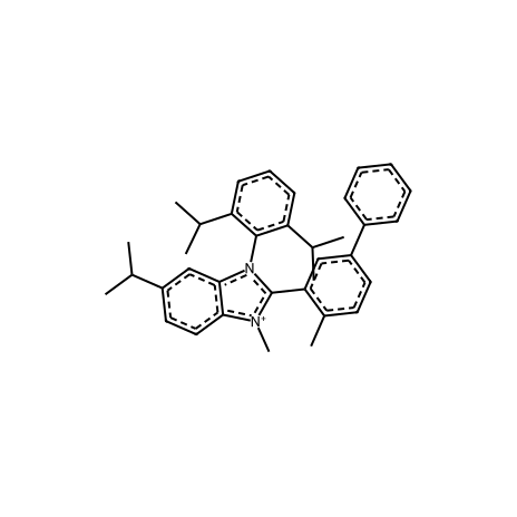 Cc1ccc(-c2ccccc2)cc1-c1n(-c2c(C(C)C)cccc2C(C)C)c2cc(C(C)C)ccc2[n+]1C